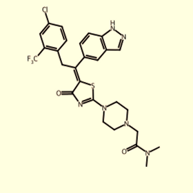 CN(C)C(=O)CN1CCN(C2=NC(=O)C(=C(Cc3ccc(Cl)cc3C(F)(F)F)c3ccc4[nH]ncc4c3)S2)CC1